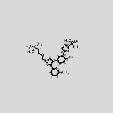 Cc1cccc(-c2nn(COCC[Si](C)(C)C)cc2-c2ccc(F)c(-c3cnc(C(C)(C)O)s3)c2)n1